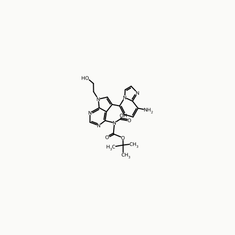 CC(C)(C)OC(=O)N(C(=O)O)c1ncnc2c1c(-c1ccc(N)c3nccn13)cn2CCO